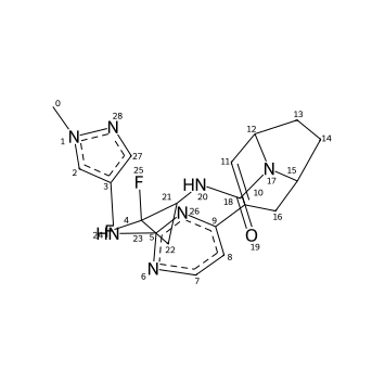 Cn1cc(Nc2nccc(C3=CC4CCC(C3)N4C(=O)NC3CC3(F)F)n2)cn1